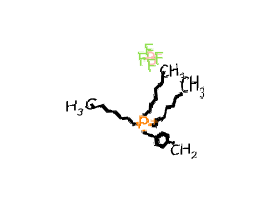 C=Cc1ccc(C[P+](CCCCCCCC)(CCCCCCCC)CCCCCCCC)cc1.F[B-](F)(F)F